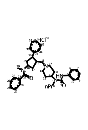 CCCN(C(=O)Nc1ccccc1)C1CCN(CC2CC(N(C)C(=O)c3ccccc3)CC2c2ccccc2)CC1.Cl